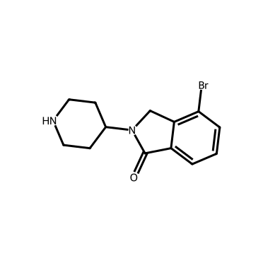 O=C1c2cccc(Br)c2CN1C1CCNCC1